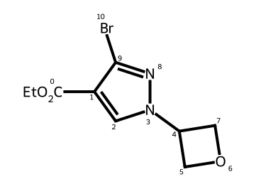 CCOC(=O)c1cn(C2COC2)nc1Br